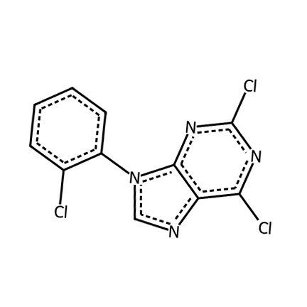 Clc1nc(Cl)c2ncn(-c3ccccc3Cl)c2n1